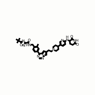 Cc1cc(-c2ncnn3cc(CCN4CCC(c5ccc(NC6CCC(=O)NC6=O)nc5)CC4)cc23)ccc1CNC(=O)c1noc(C(C)(C)C)n1